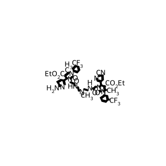 CCOC(=O)C1=C(C)N(c2cccc(C(F)(F)F)c2)C(=O)N(CC(=O)NCCN(C)CCNC(=O)CN2C(=O)N(c3cccc(C(F)(F)F)c3)C(C)=C(C(=O)OCC)C2c2ccc(C#N)nc2)C1c1ccc(N)nc1